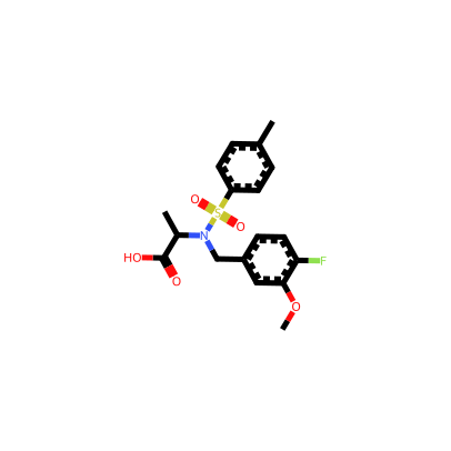 COc1cc(CN(C(C)C(=O)O)S(=O)(=O)c2ccc(C)cc2)ccc1F